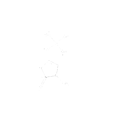 CN1C[C@@H](O[Si](C)(C)C(C)(C)C)CC1=O